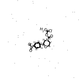 C=C(Cl)OC(=O)N1CCO[C@@H](c2ccc([N+](=O)[O-])cc2)C1